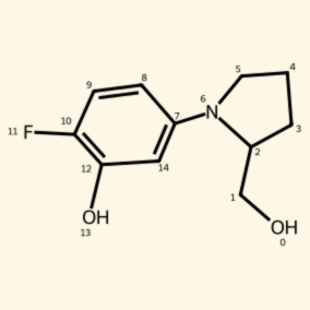 OCC1CCCN1c1ccc(F)c(O)c1